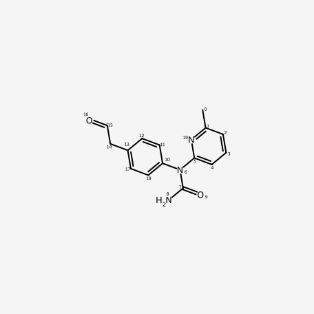 Cc1cccc(N(C(N)=O)c2ccc(C[C]=O)cc2)n1